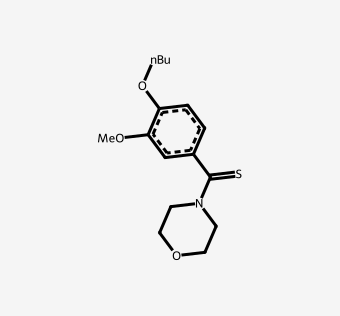 CCCCOc1ccc(C(=S)N2CCOCC2)cc1OC